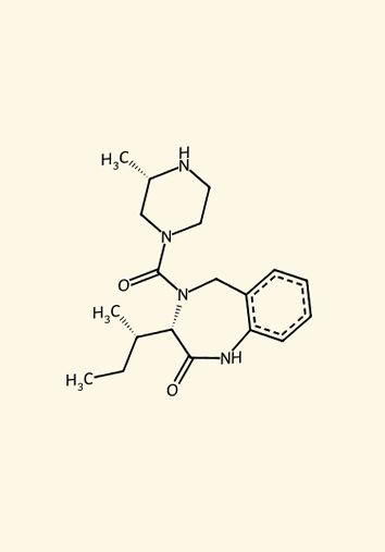 CC[C@H](C)[C@H]1C(=O)Nc2ccccc2CN1C(=O)N1CCN[C@@H](C)C1